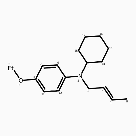 C/C=C/CN(c1ccc(OCC)cc1)C1CCCCC1